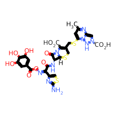 CC1=NC2=CN(C(=O)O)NN2C(SCC2=C(C(=O)O)N3C(=O)[C@@H](NC(=O)/C(=N\OC(=O)c4cc(O)c(O)c(O)c4)c4csc(N)n4)[C@H]3SC2)=C1